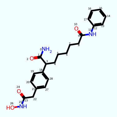 NC(=O)C(CCCCCC(=O)Nc1ccccc1)c1ccc(CC(=O)NO)cc1